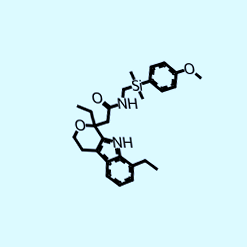 CCc1cccc2c3c([nH]c12)C(CC)(CC(=O)NC[Si](C)(C)c1ccc(OC)cc1)OCC3